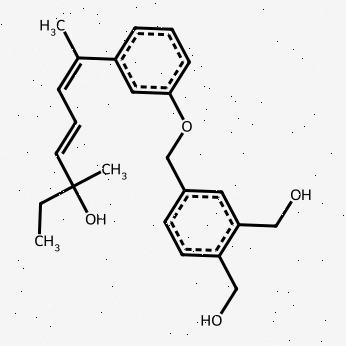 CCC(C)(O)/C=C/C=C(/C)c1cccc(OCc2ccc(CO)c(CO)c2)c1